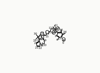 COc1c(C)cc(S(=O)(=O)N(C)CCOCC(=O)N2CCn3cccc3C2C(C)(C)C)c(C)c1C